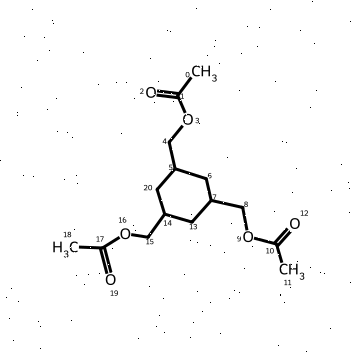 CC(=O)OCC1CC(COC(C)=O)CC(COC(C)=O)C1